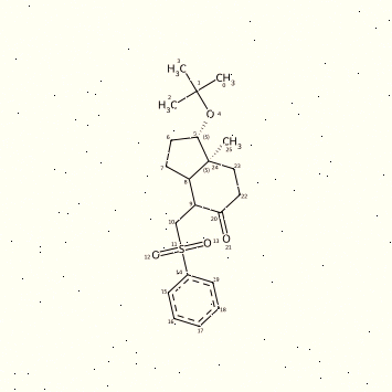 CC(C)(C)O[C@H]1CCC2C(CS(=O)(=O)c3ccccc3)C(=O)CC[C@@]21C